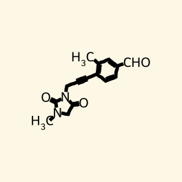 Cc1cc(C=O)ccc1C#CCN1C(=O)CN(C)C1=O